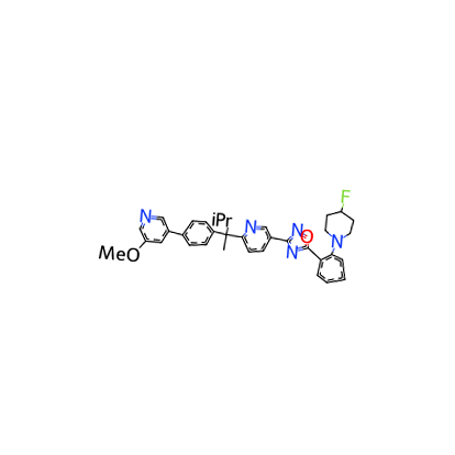 COc1cncc(-c2ccc(C(C)(c3ccc(-c4noc(-c5ccccc5N5CCC(F)CC5)n4)cn3)C(C)C)cc2)c1